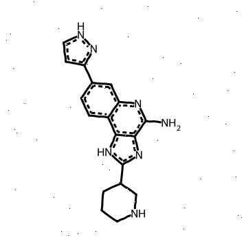 Nc1nc2cc(-c3cc[nH]n3)ccc2c2[nH]c(C3CCCNC3)nc12